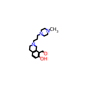 CN1CCN(CCCN2CCc3ccc(O)c(C=O)c3C2)CC1